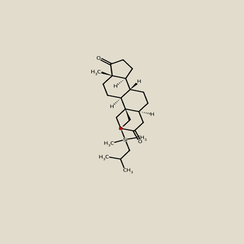 CC(C)C[Si](C)(C)OC[C@]12CCC(=O)C[C@@H]1CC[C@@H]1[C@@H]2CC[C@]2(C)C(=O)CC[C@@H]12